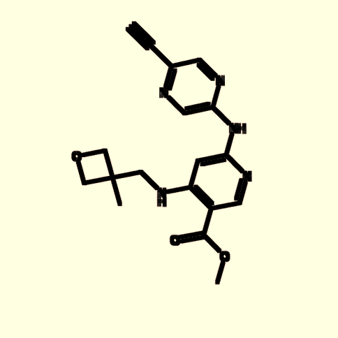 C#Cc1cnc(Nc2cc(NCC3(C)COC3)c(C(=O)OC)cn2)cn1